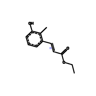 CCOC(=O)/C=C/c1cccc(O)c1C